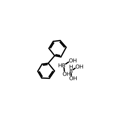 OBO.OBO.c1ccc(-c2ccccc2)cc1